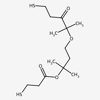 CC(C)(CCOC(C)(C)C(=O)CCS)OC(=O)CCS